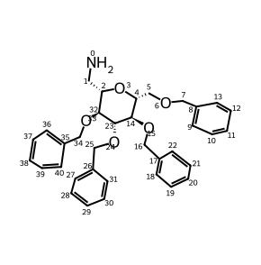 NC[C@@H]1O[C@H](COCc2ccccc2)[C@@H](OCc2ccccc2)[C@H](OCc2ccccc2)[C@H]1OCc1ccccc1